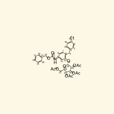 CCc1ccc(Cc2ccc(NC(=O)OCc3ccccc3)cc2O[C@H]2O[C@H](COC(C)=O)[C@@H](OC(C)=O)[C@H](OC(C)=O)[C@H]2OC(C)=O)cc1